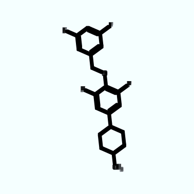 CC1CCC(c2cc(F)c(OCc3cc(F)cc(F)c3)c(F)c2)CC1